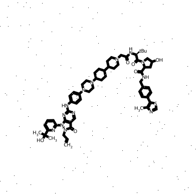 C=CCn1c(=O)c2cnc(Nc3ccc(N4CCN(C5CCC(C6CCN(CC(=O)N[C@H](C(=O)N7CC(O)CC7C(=O)NCc7ccc(-c8scnc8C)cc7)C(C)(C)C)CC6)CC5)CC4)cc3)nc2n1-c1cccc(C(C)(C)O)n1